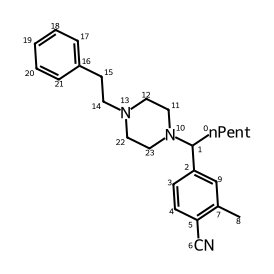 CCCCCC(c1ccc(C#N)c(C)c1)N1CCN(CCc2ccccc2)CC1